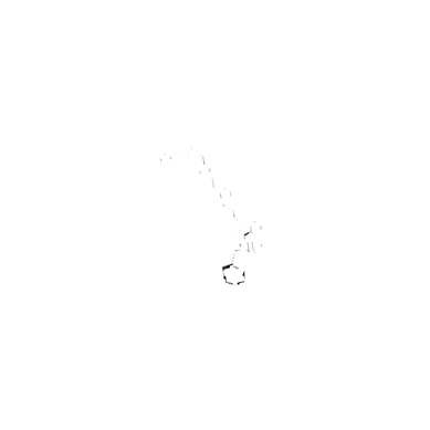 O=CCOCCOCCOC(=O)NCc1ccccc1